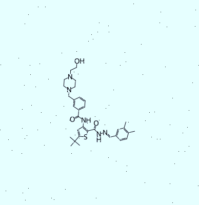 Cc1ccc(C=NNC(=O)c2sc(C(C)(C)C)cc2NC(=O)c2cccc(CN3CCN(CCO)CC3)c2)cc1C